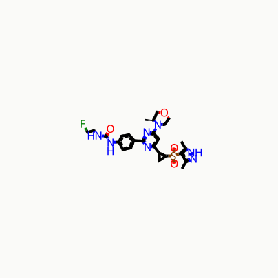 Cc1n[nH]c(C)c1S(=O)(=O)C1CC1c1cc(N2CCOC[C@@H]2C)nc(-c2ccc(NC(=O)NCCF)cc2)n1